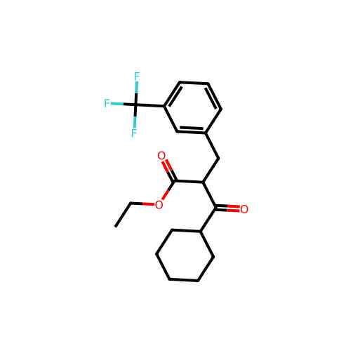 CCOC(=O)C(Cc1cccc(C(F)(F)F)c1)C(=O)C1CCCCC1